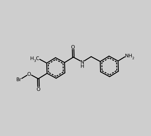 Cc1cc(C(=O)NCc2cccc(N)c2)ccc1C(=O)OBr